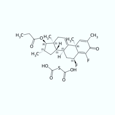 CCC(=O)O[C@@H]1[C@@H](C)C[C@H]2[C@@H]3C[C@H](F)C4=C(F)C(=O)C(C)=C[C@]4(C)C3=CC[C@]12C.O=C(O)SC(=O)O